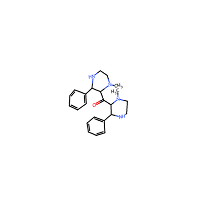 CN1CCNC(c2ccccc2)C1C(=O)C1C(c2ccccc2)NCCN1C